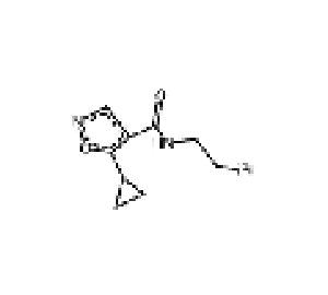 CC(C)CCNC(=O)c1cnoc1C1CC1